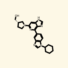 OC[C@H]1CCN(c2cc3[nH]cnc3c(-c3ccc4c(c3)ncn4C3CCCCC3)n2)C1